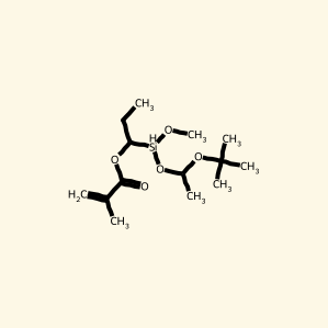 C=C(C)C(=O)OC(CC)[SiH](OC)OC(C)OC(C)(C)C